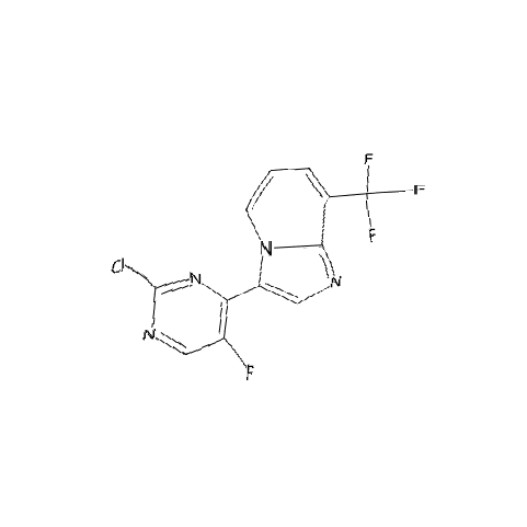 Fc1cnc(Cl)nc1-c1cnc2c(C(F)(F)F)cccn12